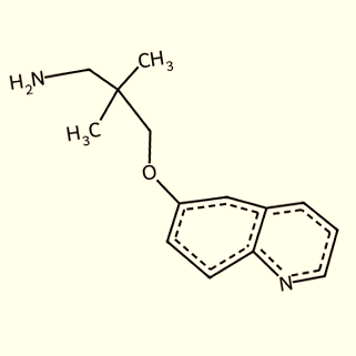 CC(C)(CN)COc1ccc2ncccc2c1